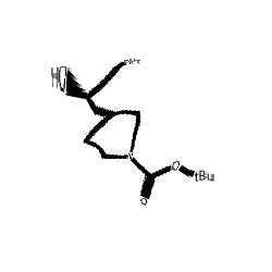 CCCC(O)C1CCN(C(=O)OC(C)(C)C)C1